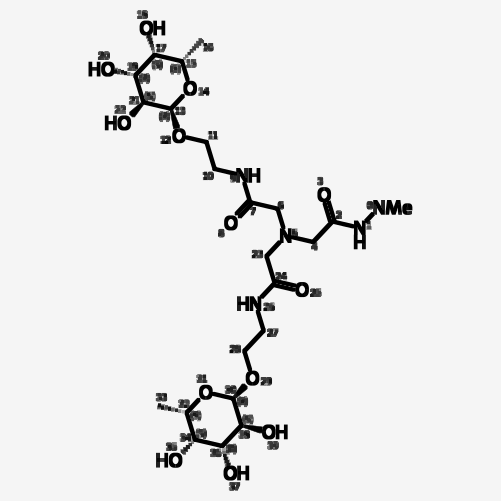 CNNC(=O)CN(CC(=O)NCCO[C@@H]1O[C@@H](C)[C@@H](O)[C@@H](O)[C@@H]1O)CC(=O)NCCO[C@@H]1O[C@@H](C)[C@@H](O)[C@@H](O)[C@@H]1O